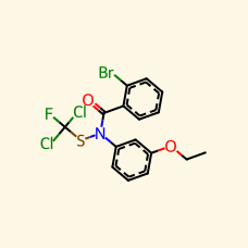 CCOc1cccc(N(SC(F)(Cl)Cl)C(=O)c2ccccc2Br)c1